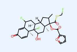 CC1C[C@H]2[C@@H]3CC(F)C4=CC(=O)C=C[C@]4(C)[C@@]3(F)C(O)C[C@]2(C)[C@@]1(OC(=O)c1ccco1)C(=O)SCF